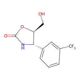 O=C1N[C@@H](c2cccc(C(F)(F)F)c2)[C@H](CO)O1